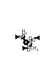 C[C@H]1CN(C(=O)OCC2CC2)c2cc(C(CN)CNC3CC3)ccc2N1C(=O)C1CC1